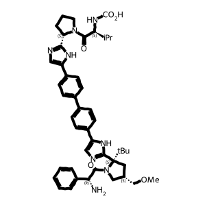 COC[C@@H]1CN(C(=O)[C@H](N)c2ccccc2)[C@](c2ncc(-c3ccc(-c4ccc(-c5cnc([C@@H]6CCCN6C(=O)[C@@H](NC(=O)O)C(C)C)[nH]5)cc4)cc3)[nH]2)(C(C)(C)C)C1